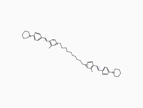 Cc1c[n+](CCCCCCCCCC[n+]2ccc(/C=C/c3ccc(N4CCCCC4)cc3)c(C)c2)ccc1/C=C/c1ccc(N2CCCCC2)cc1